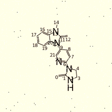 C=C1NCCN1c1ccc(N2C(=C)N(C)c3ccccc32)cn1